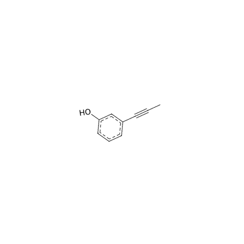 CC#Cc1cccc(O)c1